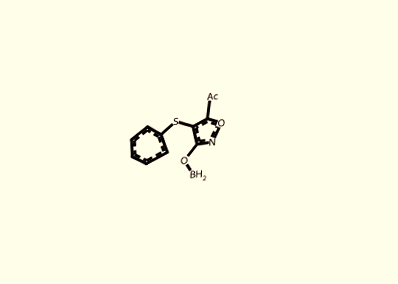 BOc1noc(C(C)=O)c1Sc1ccccc1